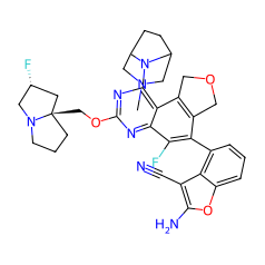 CN1CC2CCC(C1)N2c1nc(OC[C@@]23CCCN2C[C@H](F)C3)nc2c(F)c(-c3cccc4oc(N)c(C#N)c34)c3c(c12)COC3